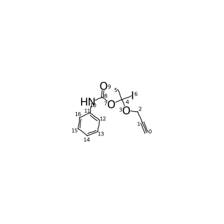 C#CCOC(C)(I)OC(=O)Nc1ccccc1